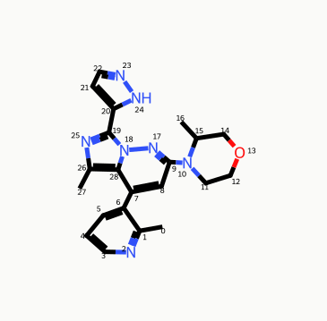 Cc1ncccc1-c1cc(N2CCOCC2C)nn2c(-c3ccn[nH]3)nc(C)c12